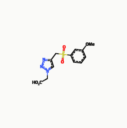 COc1cccc(S(=O)(=O)Cc2cn(CC(=O)O)nn2)c1